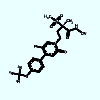 [2H]C([2H])([2H])Oc1ccc(-c2cc(=O)n(CC[C@](C)(C(=O)NO)S(C)(=O)=O)cc2F)cc1